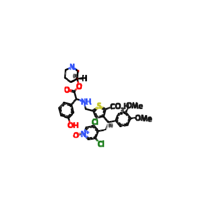 COc1ccc([C@H](Cc2c(Cl)c[n+]([O-])cc2Cl)c2cc(CNC(C(=O)O[C@H]3CN4CCC3CC4)c3cccc(O)c3)sc2C(=O)O)cc1OC